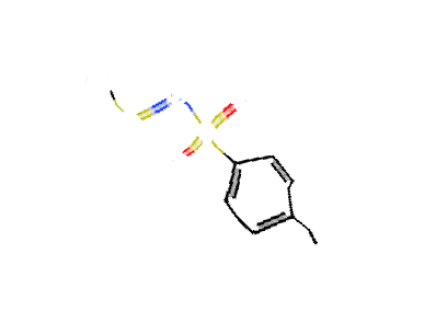 C[SH]=NS(=O)(=O)c1ccc(C)cc1